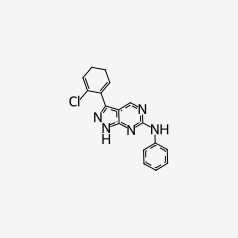 ClC1=CCCC=C1c1n[nH]c2nc(Nc3ccccc3)ncc12